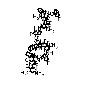 Cc1cc(NC2CC[C@@]3(COc4nc(N5CC6CCC(C5)N6)c5c(F)nc(-c6nc(NC7CC[C@@]8(COc9nc(N%10CC%11CCC(C%10)N%11)c%10c(Cl)nc(-c%11nc(N)cc(C)c%11C(F)(F)F)c(F)c%10n9)C[C@@H](F)CN78)cc(C)c6C(F)(F)F)c(F)c5n4)C[C@@H](F)CN23)nc(-c2nc(N)c3c(N4CC5CCC(C4)N5)nc(OC[C@@]45CCCN4C[C@H](F)C5)nc3c2F)c1C(F)(F)F